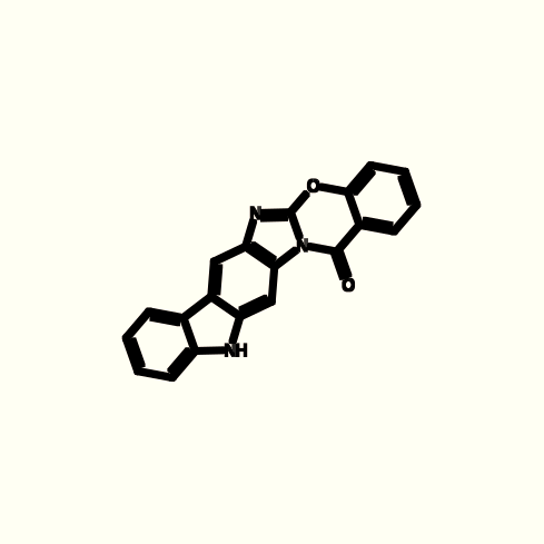 O=c1c2ccccc2oc2nc3cc4c(cc3n12)[nH]c1ccccc14